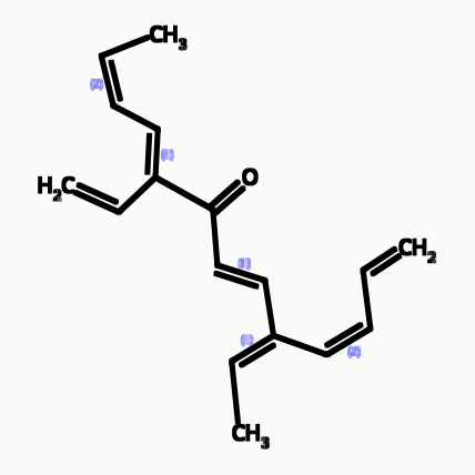 C=C\C=C/C(/C=C/C(=O)/C(C=C)=C/C=C\C)=C\C